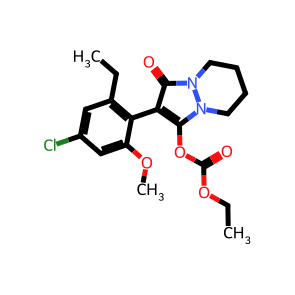 CCOC(=O)Oc1c(-c2c(CC)cc(Cl)cc2OC)c(=O)n2n1CCCC2